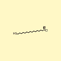 SCCCCCCCCCCCCCCC[SiH](Cl)Cl